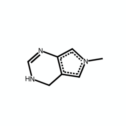 Cn1cc2c(c1)N=CNC2